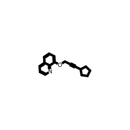 C(#CC1CCCC1)COc1cccc2cccnc12